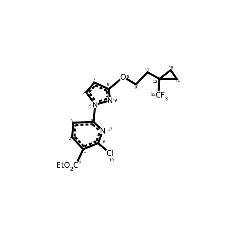 CCOC(=O)c1ccc(-n2ccc(OCCC3(C(F)(F)F)CC3)n2)nc1Cl